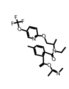 C=C(O/C(C)=N\C)c1cc(C)ccc1C(=O)N(CC)C(C)COc1ccc(OC(F)(F)F)cn1